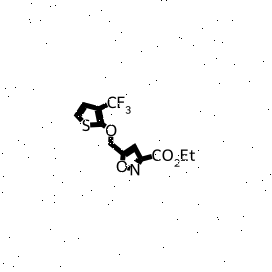 CCOC(=O)c1cc(COc2sccc2C(F)(F)F)on1